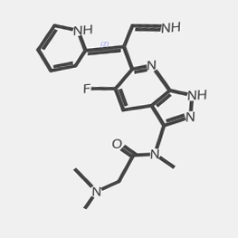 CN(C)CC(=O)N(C)c1n[nH]c2nc(/C(C=N)=C3\C=CC=CN3)c(F)cc12